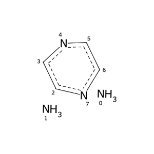 N.N.c1cnccn1